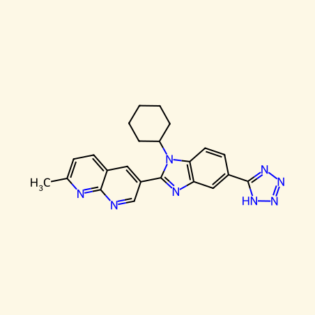 Cc1ccc2cc(-c3nc4cc(-c5nnn[nH]5)ccc4n3C3CCCCC3)cnc2n1